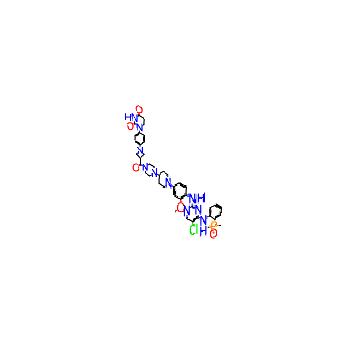 COc1cc(N2CCC(N3CCN(C(=O)C4CN(c5ccc(N6CCC(=O)NC6=O)cc5)C4)CC3)CC2)ccc1Nc1ncc(Cl)c(Nc2ccccc2P(C)(C)=O)n1